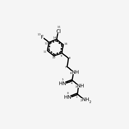 N=C(N)NC(=N)NCCc1ccc(F)c(Cl)c1